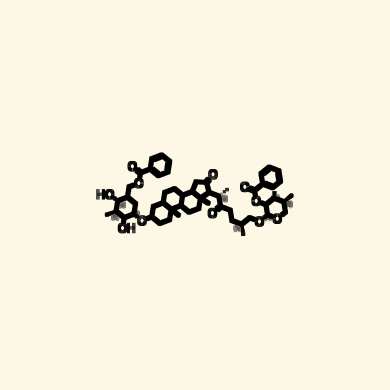 C[C@@H](CCC(=O)[C@@H](C)C1C(=O)CC2C3CCC4CC(O[C@@H]5CC(COC(=O)c6ccccc6)[C@H](O)[C@H](C)C5O)CCC4(C)C3CCC21C)CO[C@@H]1OC[C@H](C)[C@H](C)C1OC(=O)c1ccccc1